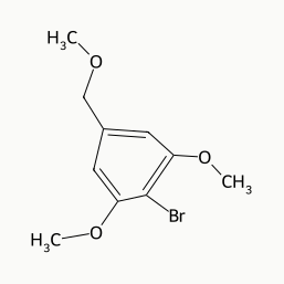 COCc1cc(OC)c(Br)c(OC)c1